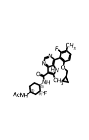 CC(=O)N[C@H]1CC[C@H](NC(=O)c2c(C)[nH]c3c(-c4c(OCC5CC5)ccc(C)c4F)ncnc23)[C@H](F)C1